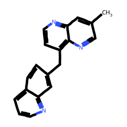 Cc1cnc2c(Cc3ccc4cccnc4c3)ccnc2c1